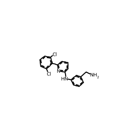 NCc1cccc(Nc2cccc(-c3c(Cl)cccc3Cl)n2)c1